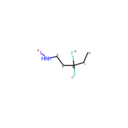 CCC(F)(F)CCNI